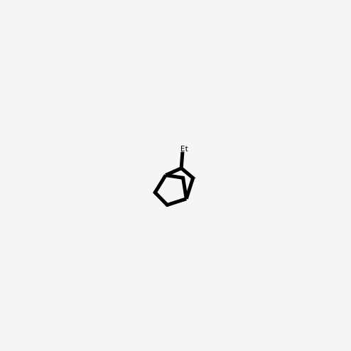 CCC1[CH]C2CCC1C2